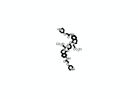 CCOC(=O)CCN1CCc2ccc(NC(=O)COC3CCNCC3)cc2C1OC(=O)/C=C\C(=O)OC1c2cc(NC(=O)COC3CCNCC3)ccc2CCN1CCC(=O)OCC